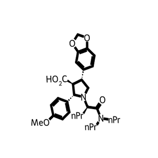 CCC[C@H](C(=O)N(CCC)CCC)N1C[C@@H](c2ccc3c(c2)OCO3)[C@H](C(=O)O)[C@H]1c1ccc(OC)cc1